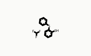 FC(F)F.Sc1ccccc1Sc1ccccc1